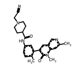 Cc1cc2c(cn1)cc(-c1cc(NC(=O)C3CCN(CC#N)CC3)ccc1C)c(=O)n2C